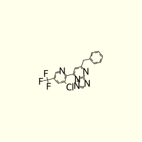 FC(F)(F)c1cnc(-c2cc(Cc3ccccc3)nc3ncnn23)c(Cl)c1